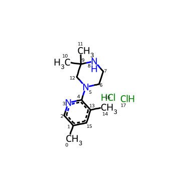 Cc1cnc(N2CCNC(C)(C)C2)c(C)c1.Cl.Cl